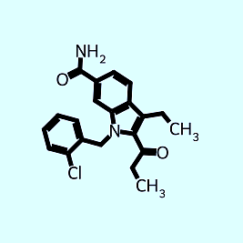 CCC(=O)c1c(CC)c2ccc(C(N)=O)cc2n1Cc1ccccc1Cl